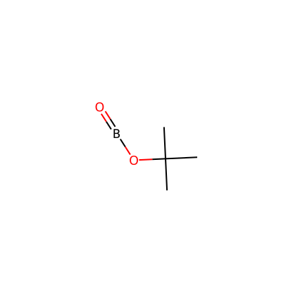 CC(C)(C)OB=O